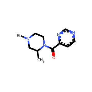 CCN1CCN(C(=O)c2ccncn2)C(C)C1